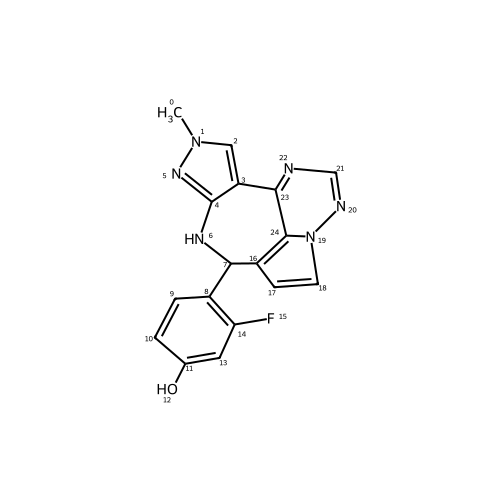 Cn1cc2c(n1)NC(c1ccc(O)cc1F)c1ccn3ncnc-2c13